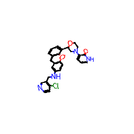 O=c1[nH]cccc1N1CCOC(c2cccc3c2Oc2ccc(NCc4cnccc4Cl)cc2C3)C1